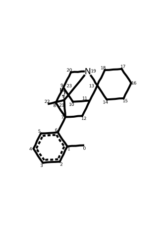 Cc1ccccc1C12CC3CC(C1)C1(CCCCC1)N(C3)[C@@H]2C